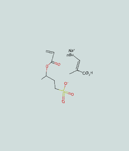 C=CC(=O)OC(C)CCS(=O)(=O)[O-].CCCCC=C(C)C(=O)O.[Na+]